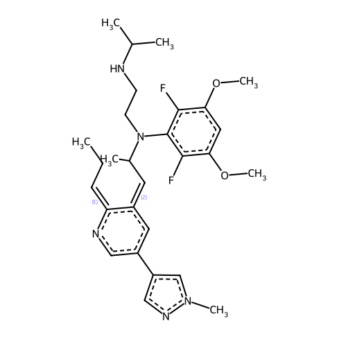 CC/C=c1/ncc(-c2cnn(C)c2)c/c1=C/C(C)N(CCNC(C)C)c1c(F)c(OC)cc(OC)c1F